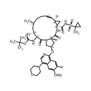 CC[C@@H]1C[C@@H](C)CC/C=C\[C@H]2C[C@@]2(C(=O)NS(=O)(=O)C2(C)CC2)NC(=O)[C@@H]2C[C@@H](Oc3ncc(N4CCOCC4)c4cc(OC)c(F)cc34)CN2C(=O)[C@H]1NC(=O)OC(C)(C)C(F)(F)F